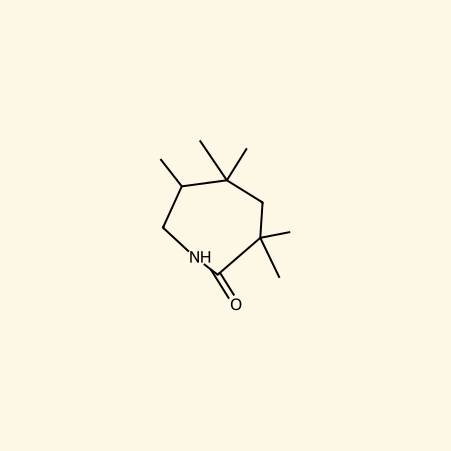 CC1CNC(=O)C(C)(C)CC1(C)C